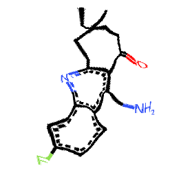 CC1(C)CC(=O)c2c(nc3cc(F)ccc3c2N)C1